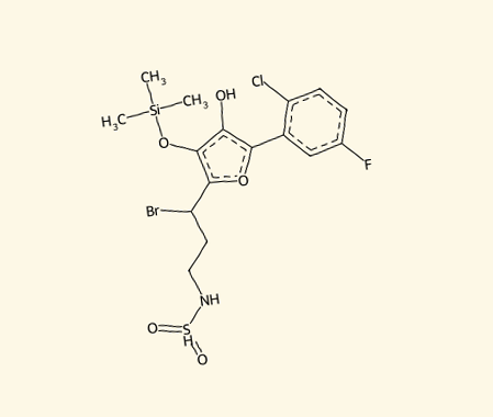 C[Si](C)(C)Oc1c(C(Br)CCN[SH](=O)=O)oc(-c2cc(F)ccc2Cl)c1O